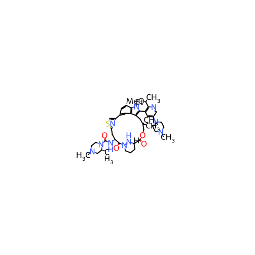 CCn1c(-c2cc(N3CCN(C)CC3)cnc2[C@H](C)OC)c2c3cc(ccc31)-c1csc(n1)C[C@H](NC(=O)N1CCN(C)C[C@@H]1C)C(=O)N1CCC[C@H](N1)C(=O)OCC(C)(C)C2